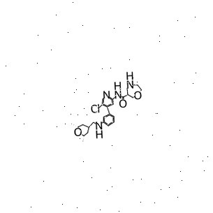 C[C@@H]1CC(CNc2cccc(-c3cc(NC(=O)[C@H]4CNCCOC4)ncc3Cl)c2)C[C@H](C)O1